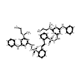 CN(CCO)c1nc(NOS(=O)(=O)c2ccccc2C=Cc2ccccc2S(=O)(=O)ONc2nc(Nc3ccccc3)nc(N(C)CCO)n2)nc(Nc2ccccc2)n1